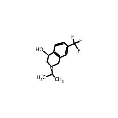 CC(C)N1Cc2cc(C(F)(F)F)ccc2[C@H](O)C1